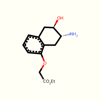 CCOC(=O)COc1cccc2c1C[C@@H](N)[C@H](O)C2